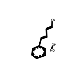 N#CC=CC=Cc1ccccc1.O=NO